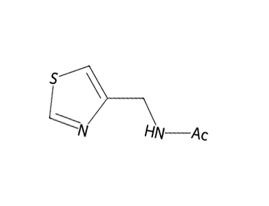 CC(=O)NCc1cscn1